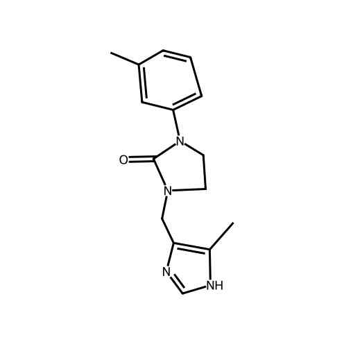 Cc1cccc(N2CCN(Cc3nc[nH]c3C)C2=O)c1